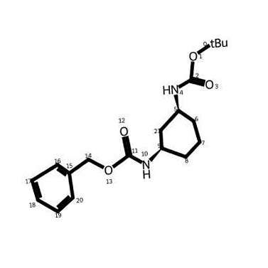 CC(C)(C)OC(=O)N[C@H]1CCC[C@@H](NC(=O)OCc2ccccc2)C1